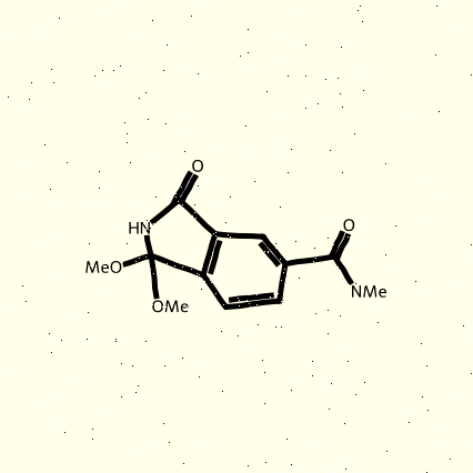 CNC(=O)c1ccc2c(c1)C(=O)NC2(OC)OC